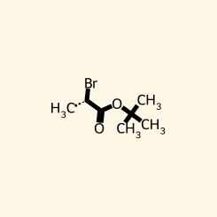 C[C@H](Br)C(=O)OC(C)(C)C